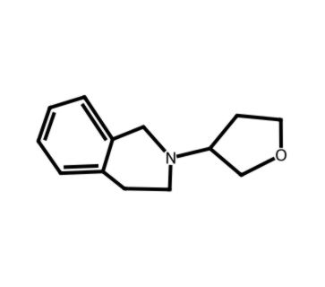 c1ccc2c(c1)CCN(C1CCOC1)C2